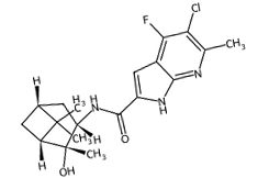 Cc1nc2[nH]c(C(=O)N[C@H]3C[C@H]4C[C@H](C4(C)C)[C@@]3(C)O)cc2c(F)c1Cl